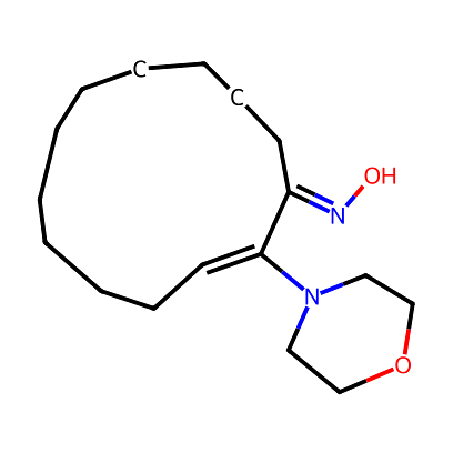 ON=C1CCCCCCCCCC/C=C/1N1CCOCC1